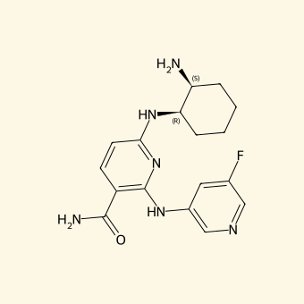 NC(=O)c1ccc(N[C@@H]2CCCC[C@@H]2N)nc1Nc1cncc(F)c1